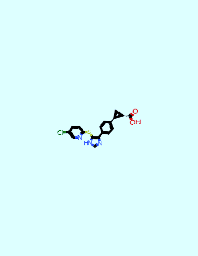 O=C(O)[C@H]1C[C@@H]1c1ccc(-c2nc[nH]c2Sc2ccc(Cl)cn2)cc1